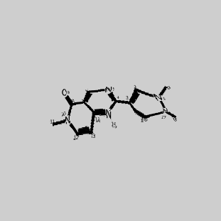 CN1C=C(c2ncc3c(=O)n(C)ccc3n2)CN1C